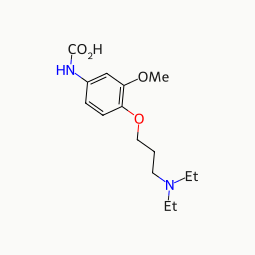 CCN(CC)CCCOc1ccc(NC(=O)O)cc1OC